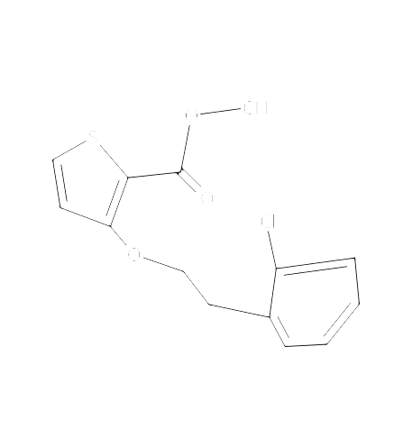 COC(=O)c1sccc1OCCc1ccccc1Cl